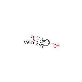 COC(=O)C(C)(C)c1ccc(CO)cc1